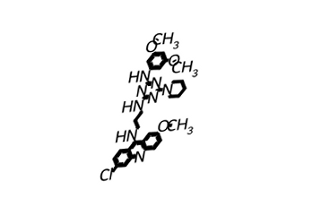 COc1cc(Nc2nc(NCCCNc3c4ccc(Cl)cc4nc4ccc(OC)cc34)nc(N3CCCCC3)n2)cc(OC)c1